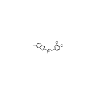 Cc1ccc2c(c1)CN([C@H](C)CCc1ccc(Cl)c(Cl)c1)C2